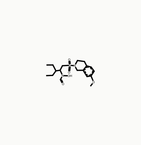 CCC(CC)C(CS(=O)(=O)N1CCc2ccc(OC)cc2C1)N(O)C=O